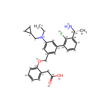 CCN(CC1CC1)c1cc(COc2ccccc2CC(=O)O)cc(-c2cccc([C@@H](C)N)c2F)c1